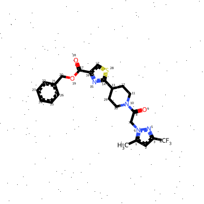 Cc1cc(C(F)(F)F)nn1CC(=O)N1CCC(c2nc(C(=O)OCc3ccccc3)cs2)CC1